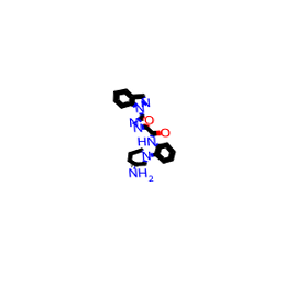 N[C@@H]1CCCN(c2ccccc2NC(=O)c2nnc(-n3ncc4ccccc43)o2)C1